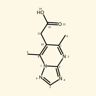 Cc1nc2ncnn2c(C)c1CC(=O)O